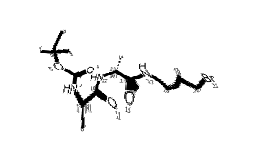 C[C@@H](NC(=O)OC(C)(C)C)C(=O)N[C@H](C)C(=O)NCCCBr